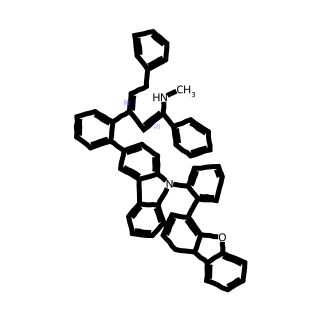 CN/C(=C\C(=C/Cc1ccccc1)c1ccccc1-c1ccc2c(c1)c1ccccc1n2-c1ccccc1C1=C2Oc3ccccc3C2CC=C1)c1ccccc1